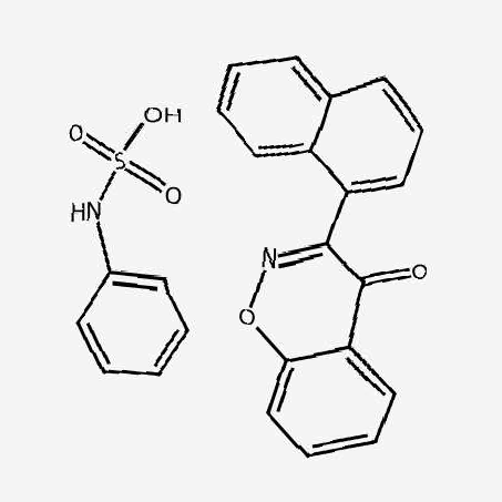 O=S(=O)(O)Nc1ccccc1.O=c1c(-c2cccc3ccccc23)noc2ccccc12